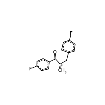 C[C@H](Cc1ccc(F)cc1)C(=O)c1ccc(F)cc1